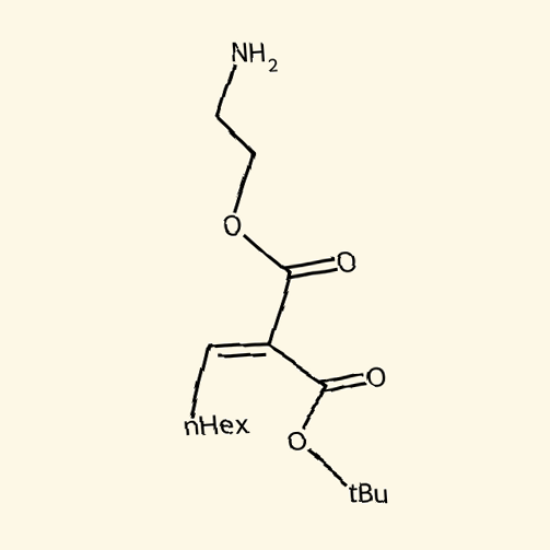 CCCCCCC=C(C(=O)OCCN)C(=O)OC(C)(C)C